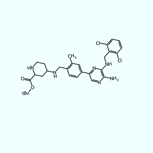 Cc1cc(-c2cnc(N)c(NCc3c(Cl)cccc3Cl)n2)ccc1CNC1CCNC(C(=O)OC(C)(C)C)C1